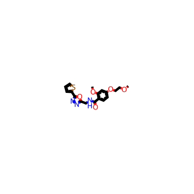 COCCOc1ccc(C(=O)NCc2nnc(-c3cccs3)o2)c(OC)c1